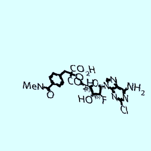 CNC(=O)c1ccc(CC(OC[C@H]2O[C@@H](n3cnc4c(N)nc(Cl)nc43)[C@@H](F)[C@@H]2O)(C(=O)O)C(=O)O)cc1